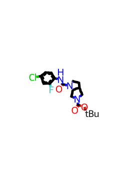 CC(C)(C)OC(=O)N1CC2CCN(C(=O)Nc3ccc(Cl)cc3F)C2C1